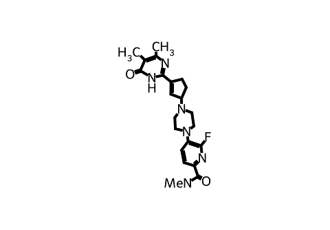 CNC(=O)c1ccc(N2CCN(C3C=C(c4nc(C)c(C)c(=O)[nH]4)CC3)CC2)c(F)n1